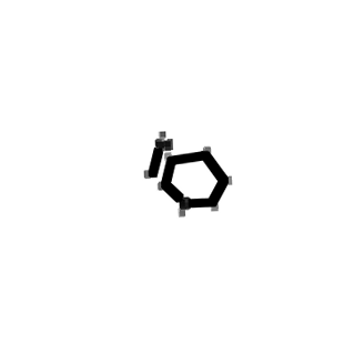 C1CCOCC1.[CH3][Sn]